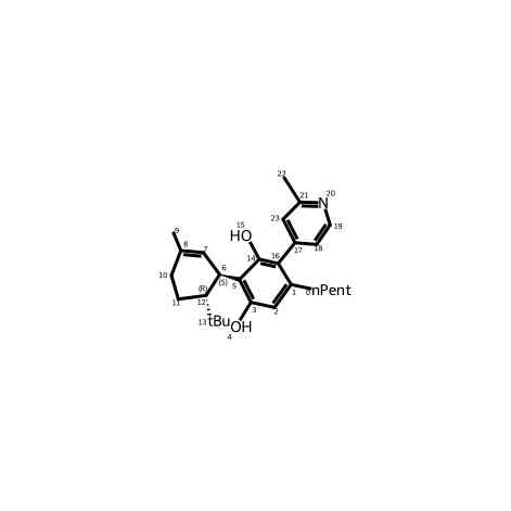 CCCCCc1cc(O)c([C@@H]2C=C(C)CC[C@H]2C(C)(C)C)c(O)c1-c1ccnc(C)c1